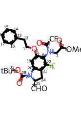 COC(=O)CN(C(=O)C(F)(F)F)c1c(OCCc2ccccc2)cc2c(c1F)C[C@@H](C=O)N2C(=O)OC(C)(C)C